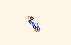 COc1ccccc1-c1ccc2cnc(Nc3cccc(C4C(=O)N(C)CCN4C)c3)nn12